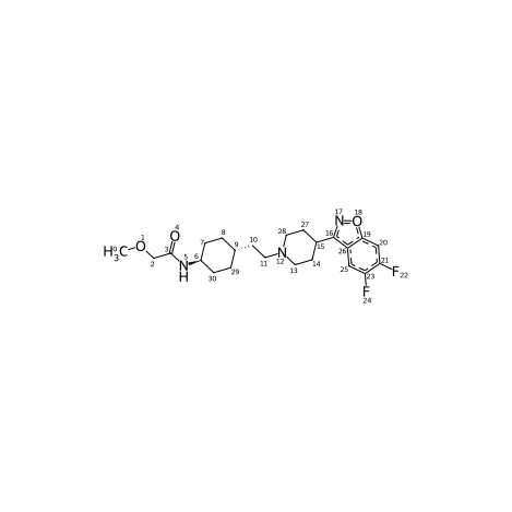 COCC(=O)N[C@H]1CC[C@H](CCN2CCC(c3noc4cc(F)c(F)cc34)CC2)CC1